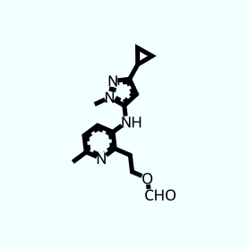 Cc1ccc(Nc2cc(C3CC3)nn2C)c(CCOC=O)n1